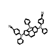 N#Cc1ccc(N(c2ccccc2)c2cc3ccc4cc(N(c5ccccc5)c5ccc(C#N)cc5)cc5c4c3c(c2)n5-c2ccccc2)cc1